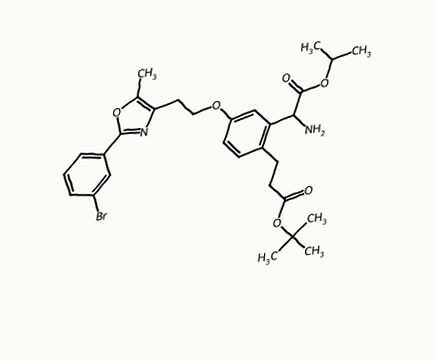 Cc1oc(-c2cccc(Br)c2)nc1CCOc1ccc(CCC(=O)OC(C)(C)C)c(C(N)C(=O)OC(C)C)c1